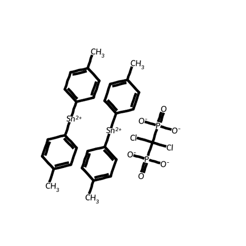 Cc1cc[c]([Sn+2][c]2ccc(C)cc2)cc1.Cc1cc[c]([Sn+2][c]2ccc(C)cc2)cc1.O=P([O-])([O-])C(Cl)(Cl)P(=O)([O-])[O-]